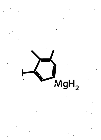 Cc1cccc(I)c1C.[MgH2]